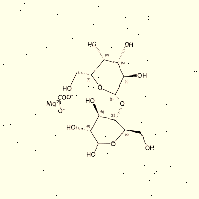 O=C([O-])[O-].OC[C@H]1O[C@@H](O[C@H]2[C@H](O)[C@@H](O)C(O)O[C@@H]2CO)[C@H](O)[C@@H](O)[C@H]1O.[Mg+2]